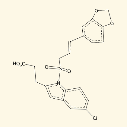 O=C(O)CCc1cc2cc(Cl)ccc2n1S(=O)(=O)CC=Cc1ccc2c(c1)OCO2